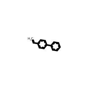 C=Cc1ccc(-c2ccccc2)cc1